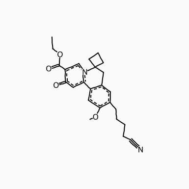 CCOC(=O)c1cn2c(cc1=O)-c1cc(OC)c(CCCCC#N)cc1CC21CCC1